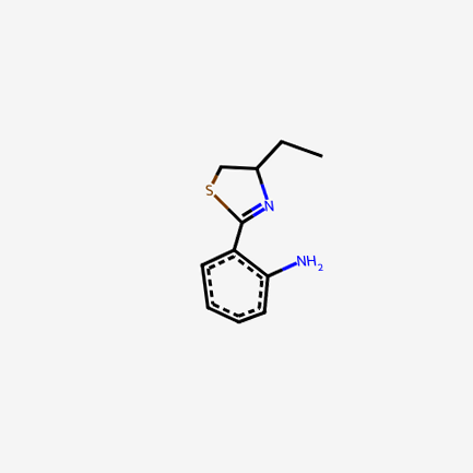 CCC1CSC(c2ccccc2N)=N1